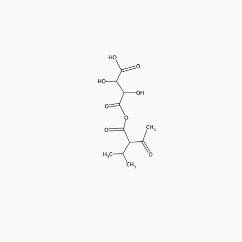 CC(=O)C(C(=O)OC(=O)C(O)C(O)C(=O)O)C(C)C